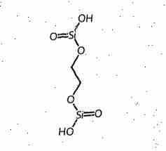 O=[Si](O)OCCO[Si](=O)O